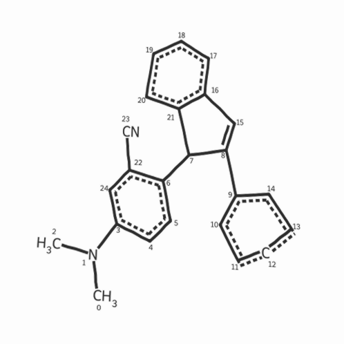 CN(C)c1ccc(C2C(c3ccccc3)=Cc3ccccc32)c(C#N)c1